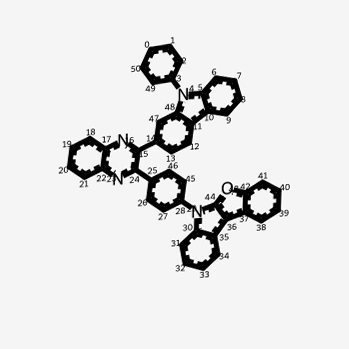 c1ccc(-n2c3ccccc3c3ccc(-c4nc5ccccc5nc4-c4ccc(-n5c6ccccc6c6c7ccccc7oc65)cc4)cc32)cc1